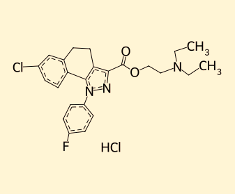 CCN(CC)CCOC(=O)c1nn(-c2ccc(F)cc2)c2c1CCc1cc(Cl)ccc1-2.Cl